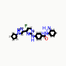 Nc1ccccc1NC(=O)c1ccc(Nc2ncc(F)c(-c3cn(C4CCCC4)nn3)n2)cc1